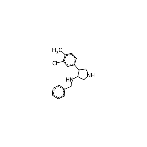 Cc1ccc(C2CNCC2NCc2ccccc2)cc1Cl